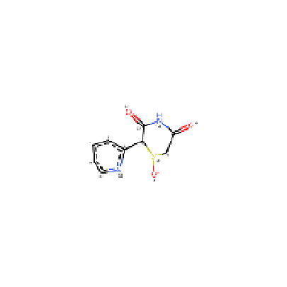 O=C1C[S+]([O-])C(c2ccccn2)C(=O)N1